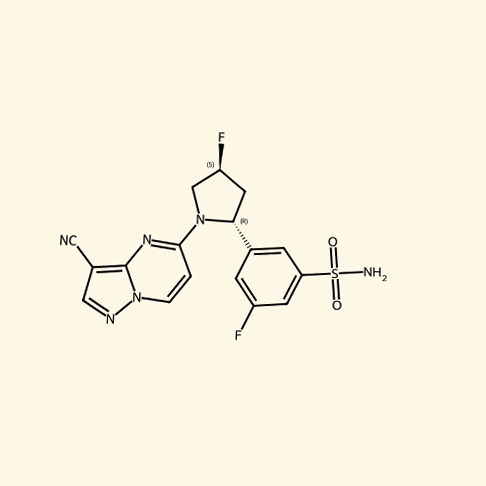 N#Cc1cnn2ccc(N3C[C@@H](F)C[C@@H]3c3cc(F)cc(S(N)(=O)=O)c3)nc12